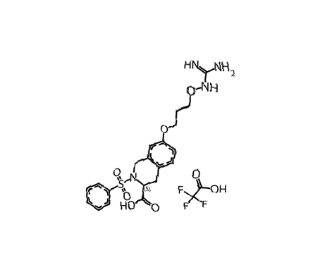 N=C(N)NOCCCOc1ccc2c(c1)CN(S(=O)(=O)c1ccccc1)[C@H](C(=O)O)C2.O=C(O)C(F)(F)F